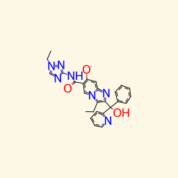 CCc1c(C(O)(c2ccccc2)c2ccccn2)nc2cc(OC)c(C(=O)Nc3ncn(CC)n3)cn12